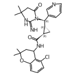 CC1(C)CC(=O)N([C@@H](c2cccnc2)[C@@H]2C[C@H]2C(=O)NC2CC(C)(C)Oc3cccc(Cl)c32)C(=N)N1